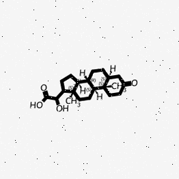 C[C@]12CCC(=O)C[C@@H]1CC[C@@H]1[C@@H]2CC[C@]2(C)C(C(O)C(=O)O)CC[C@@H]12